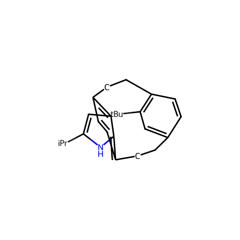 CC(C)c1cc2c3ccc(c2[nH]1)CCc1ccc(c(C(C)(C)C)c1)CC3